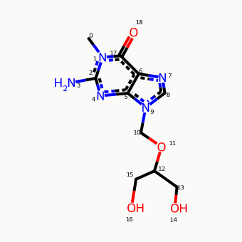 Cn1c(N)nc2c(ncn2COC(CO)CO)c1=O